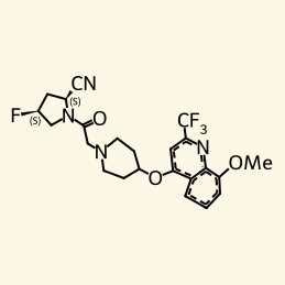 COc1cccc2c(OC3CCN(CC(=O)N4C[C@@H](F)C[C@H]4C#N)CC3)cc(C(F)(F)F)nc12